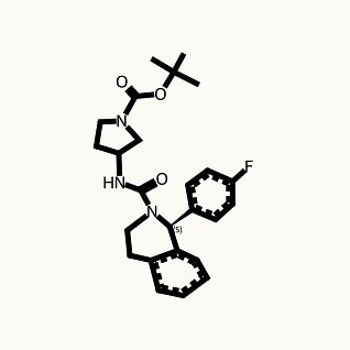 CC(C)(C)OC(=O)N1CCC(NC(=O)N2CCc3ccccc3[C@@H]2c2ccc(F)cc2)C1